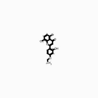 CCOc1ccc(-c2cc(=O)c3c(Br)ccc(Cl)c3o2)c(O)c1